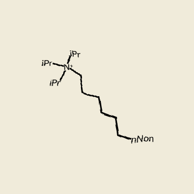 CCCCCCCCCCCCCCC[N+](C(C)C)(C(C)C)C(C)C